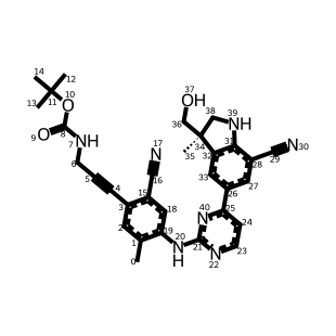 Cc1cc(C#CCNC(=O)OC(C)(C)C)c(C#N)cc1Nc1nccc(-c2cc(C#N)c3c(c2)[C@@](C)(CO)CN3)n1